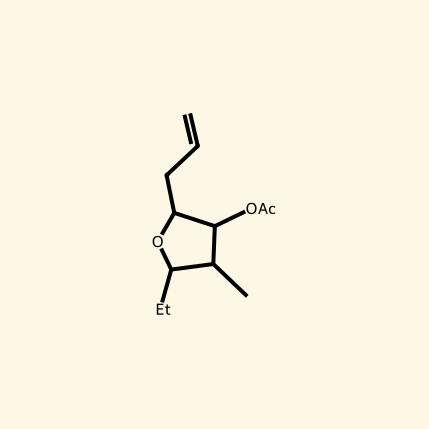 C=CCC1OC(CC)C(C)C1OC(C)=O